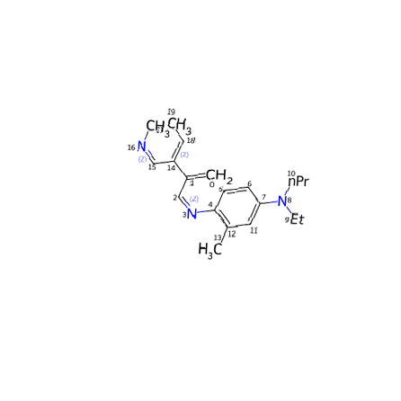 C=C(/C=N\c1ccc(N(CC)CCC)cc1C)C(/C=N\C)=C/C